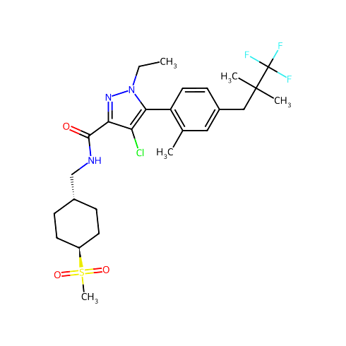 CCn1nc(C(=O)NC[C@H]2CC[C@H](S(C)(=O)=O)CC2)c(Cl)c1-c1ccc(CC(C)(C)C(F)(F)F)cc1C